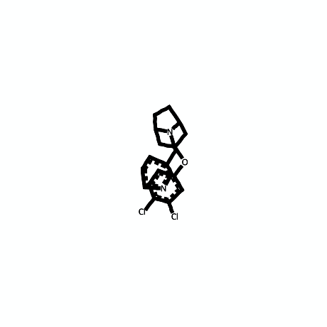 Clc1ccc(OC2CC3CCC(C2)N3Cc2cccnc2)cc1Cl